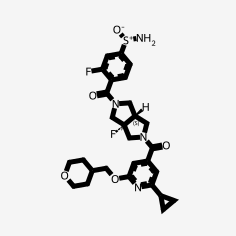 N[S+]([O-])c1ccc(C(=O)N2C[C@@H]3CN(C(=O)c4cc(OCC5CCOCC5)nc(C5CC5)c4)C[C@@]3(F)C2)c(F)c1